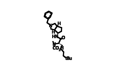 CN(C(=O)O)[C@@H](CCCCC(C)(C)C)C(=O)N[C@H]1CC[C@@H]2CN(Cc3ccccc3)C[C@@H]21